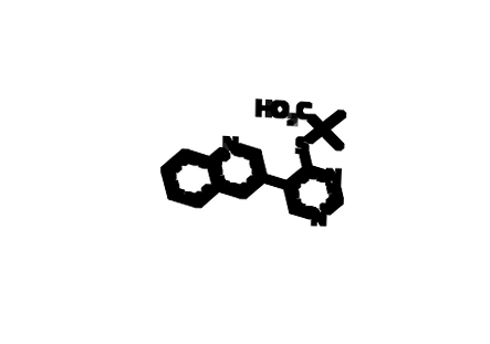 CC(C)(Sc1ncncc1-c1cnc2ccccc2c1)C(=O)O